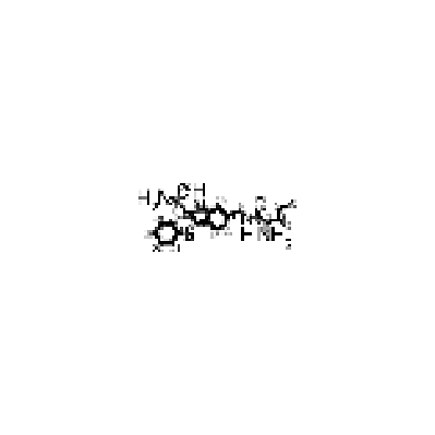 CCC(C)C(N)C(=O)NCc1ccc2c(Sc3ccccc3)c(OC(N)=O)[nH]c2c1